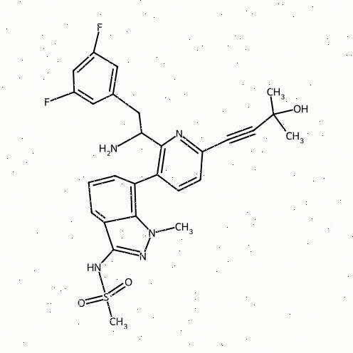 Cn1nc(NS(C)(=O)=O)c2cccc(-c3ccc(C#CC(C)(C)O)nc3C(N)Cc3cc(F)cc(F)c3)c21